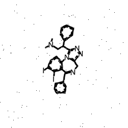 CN(C)CC(c1ccccc1)c1nnc2n1-c1ccc(I)c(I)c1C(c1ccccc1)=NC2